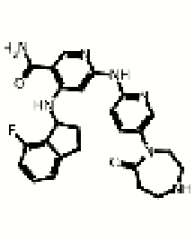 NC(=O)c1cnc(Nc2ccc(N3CCNCCC3=O)cn2)cc1NC1CCc2cccc(F)c21